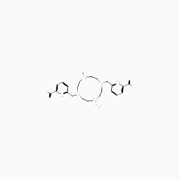 CN1CCN(Cc2cccc(C(=O)O)n2)CCN(N)CCN(Cc2cccc(C(=O)O)n2)CC1